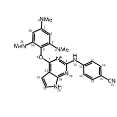 CNc1cc(NC)c(Oc2nc(Nc3ccc(C#N)cc3)nc3[nH]ccc23)c(NC)c1